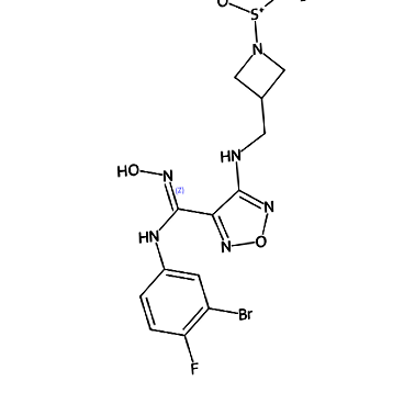 N[S+]([O-])N1CC(CNc2nonc2/C(=N/O)Nc2ccc(F)c(Br)c2)C1